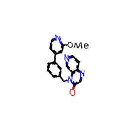 COc1cc(-c2cccc(Cn3c(=O)cnc4ccncc43)c2)ccn1